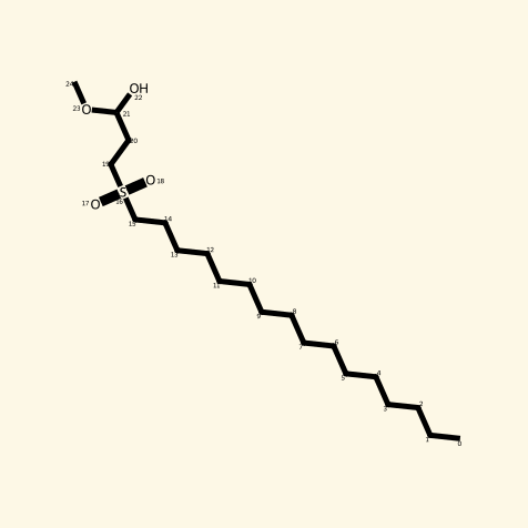 CCCCCCCCCCCCCCCCS(=O)(=O)CCC(O)OC